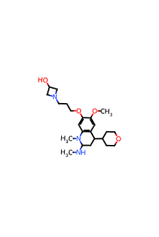 CNC1CC(C2CCOCC2)c2cc(OC)c(OCCCN3CC(O)C3)cc2N1C